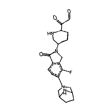 O=CC(=O)C1CCC(N2Cc3c(ccc(N4CC5CCC(C4)N5)c3F)C2=O)CN1